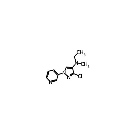 CCN(C)c1cn(-c2cccnc2)nc1Cl